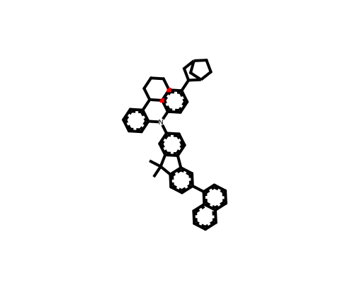 CC1(C)c2ccc(-c3cccc4ccccc34)cc2-c2ccc(N(c3ccc(C4CC5CCC4C5)cc3)c3ccccc3C3CCCCC3)cc21